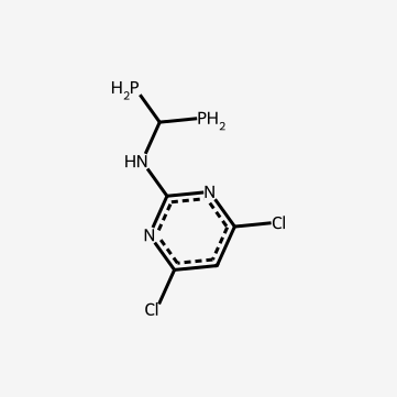 PC(P)Nc1nc(Cl)cc(Cl)n1